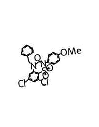 COc1ccc(N2C(=O)N(Cc3ccccc3)c3cc(Cl)cc(Cl)c3S2(=O)=O)cc1